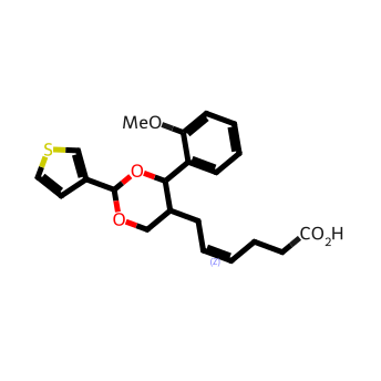 COc1ccccc1C1OC(c2ccsc2)OCC1C/C=C\CCC(=O)O